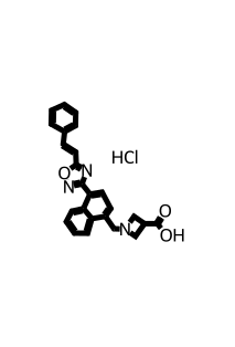 Cl.O=C(O)C1CN(Cc2ccc(-c3noc(/C=C/c4ccccc4)n3)c3ccccc23)C1